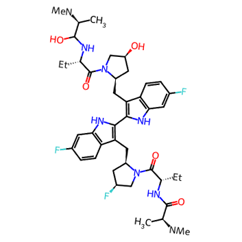 CC[C@H](NC(=O)[C@H](C)NC)C(=O)N1C[C@@H](F)C[C@H]1Cc1c(-c2[nH]c3cc(F)ccc3c2C[C@@H]2C[C@H](O)CN2C(=O)[C@H](CC)NC(O)[C@H](C)NC)[nH]c2cc(F)ccc12